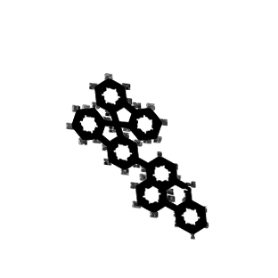 c1ccc2c(c1)Sc1ccc(-c3ccc4c(c3)C3(c5ccccc5-c5ccccc53)c3ccccc3-4)c3cccc-2c13